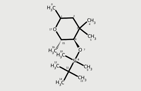 CC1CC(C)(C)[C@@H](O[Si](C)(C)C(C)(C)C)[C@H](C)O1